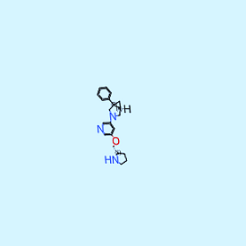 c1ccc([C@@]23C[C@H]2CN(c2cncc(OC[C@@H]4CCCN4)c2)C3)cc1